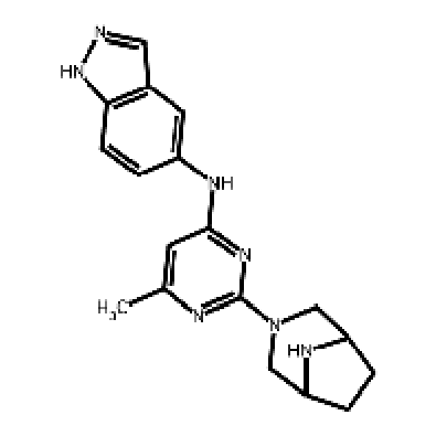 Cc1cc(Nc2ccc3[nH]ncc3c2)nc(N2CC3CCC(C2)N3)n1